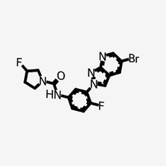 O=C(Nc1ccc(F)c(-n2cc3cc(Br)cnc3n2)c1)N1CCC(F)C1